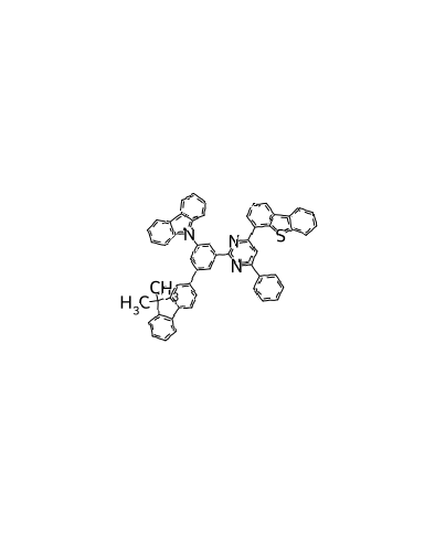 CC1(C)c2ccccc2-c2ccc(-c3cc(-c4nc(-c5ccccc5)cc(-c5cccc6c5sc5ccccc56)n4)cc(-n4c5ccccc5c5ccccc54)c3)cc21